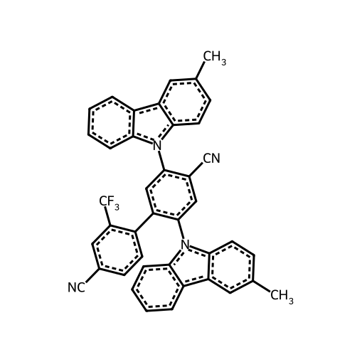 Cc1ccc2c(c1)c1ccccc1n2-c1cc(-c2ccc(C#N)cc2C(F)(F)F)c(-n2c3ccccc3c3cc(C)ccc32)cc1C#N